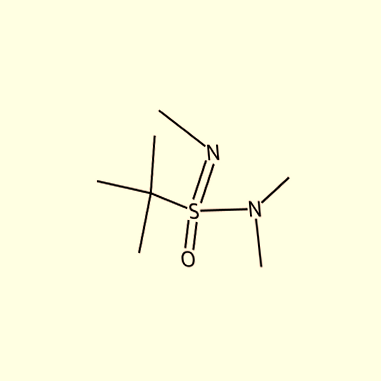 CN=S(=O)(N(C)C)C(C)(C)C